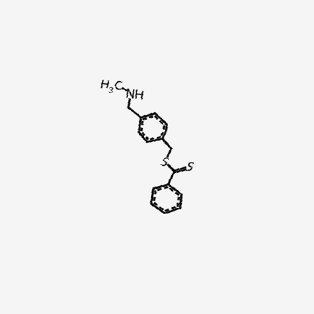 CNCc1ccc(CSC(=S)c2ccccc2)cc1